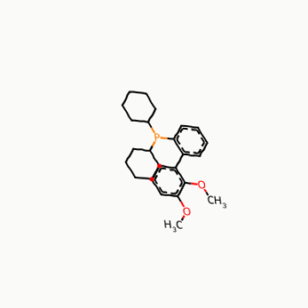 COc1cccc(-c2ccccc2P(C2CCCCC2)C2CCCCC2)c1OC